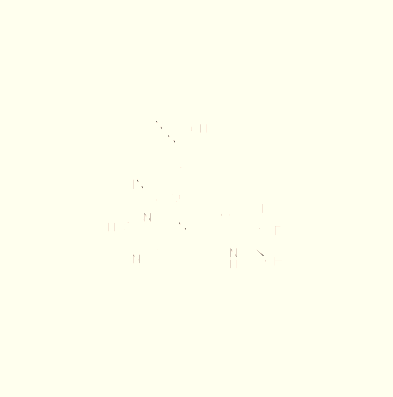 C[C@@H](NC(=O)c1ccc(N2CCCC2)c(N(C)C(=O)Nc2ccnn(C)c2=O)n1)C(F)(F)F